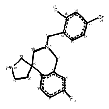 Fc1ccc2c(c1)CN(Cc1ccc(Br)cc1F)CC21CCNC1